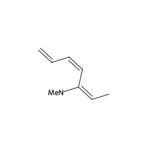 C=C/C=C\C(=C/C)NC